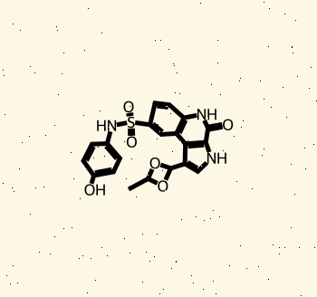 CC1OC(c2c[nH]c3c(=O)[nH]c4ccc(S(=O)(=O)Nc5ccc(O)cc5)cc4c23)O1